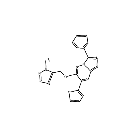 Cn1ncnc1COc1nn2c(-c3ccccc3)nnc2cc1-c1ccco1